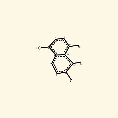 Cc1ccc2c([O])ccc(C)c2c1C